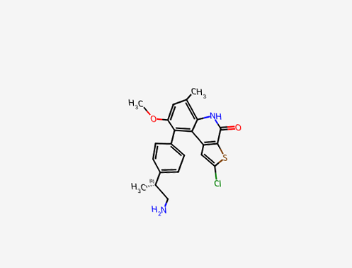 COc1cc(C)c2[nH]c(=O)c3sc(Cl)cc3c2c1-c1ccc([C@@H](C)CN)cc1